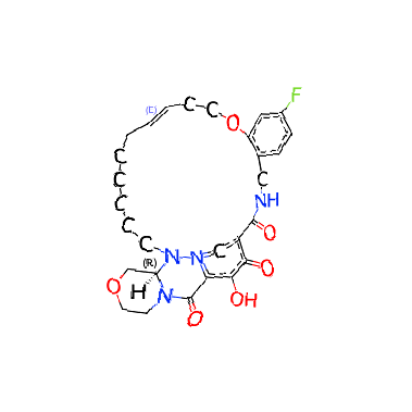 O=C1NCc2ccc(F)cc2OCC/C=C/CCCCCCN2[C@@H]3COCCN3C(=O)c3c(O)c(=O)c1cn32